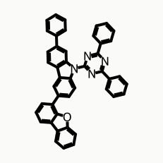 c1ccc(-c2ccc3c4cc(-c5cccc6c5oc5ccccc56)ccc4n(-c4nc(-c5ccccc5)nc(-c5ccccc5)n4)c3c2)cc1